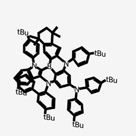 CC(C)(C)c1ccc(N(c2ccc(C(C)(C)C)cc2)c2cc3c4c(c2)N(c2ccc(C(C)(C)C)cc2-c2ccccc2)c2c(n(-c5ccc(C(C)(C)C)cc5)c5ccc(C(C)(C)C)cc25)B4c2cc4c(cc2N3c2ccc(C(C)(C)C)cc2)C(C)(C)CCC4(C)C)cc1